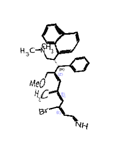 COC\C(=C/C(C)=C/C(Br)=C\C=N)[C@@H](c1ccccc1)C(CN(C)C)c1cccc2ccccc12